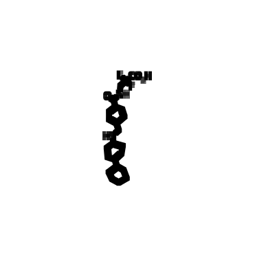 O=C(NCC(F)(F)C(=O)O)c1ccc(CNc2ccc(C3=CCCCC3)cc2)cc1